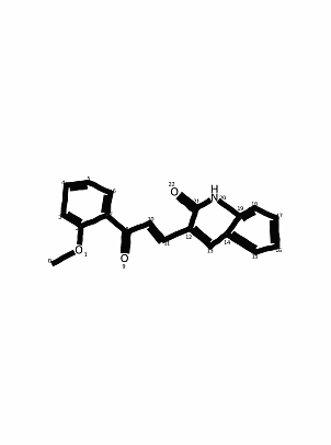 COc1ccccc1C(=O)/C=C/c1cc2ccccc2[nH]c1=O